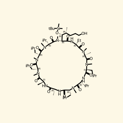 CC[C@H]1NC(=O)[C@@H]([C@H](O[Si](C)(C)C(C)(C)C)[C@H](C)CCCO)N(C)C(=O)[C@@H](C(C)C)N(C)C(=O)[C@@H](CC(C)C)N(C)C(=O)[C@@H](CC(C)C)N(C)C(=O)[C@H](C)NC(=O)[C@@H](C)NC(=O)[C@@H](CC(C)C)N(C)C(=O)[C@@H](C(C)C)NC(=O)[C@H](CC(C)C)N(C)C(=O)[C@@H](C)N(C)C1=O